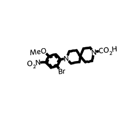 COc1cc(N2CCC3(CCN(C(=O)O)CC3)CC2)c(Br)cc1[N+](=O)[O-]